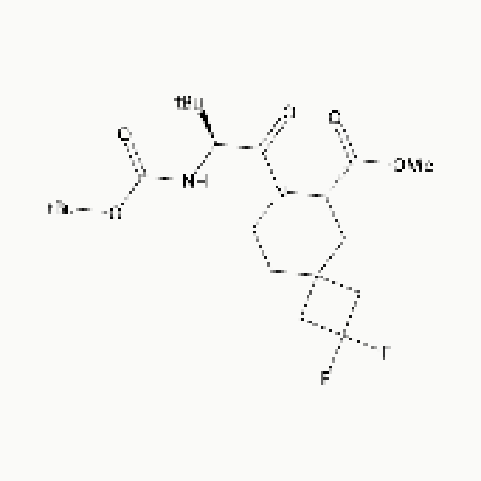 COC(=O)[C@@H]1CC2(CCN1C(=O)[C@@H](NC(=O)OC(C)(C)C)C(C)(C)C)CC(F)(F)C2